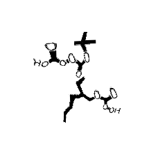 CC(C)(C)OC(=O)OOC(=O)O.CCCCC(CC)COC(=O)OO